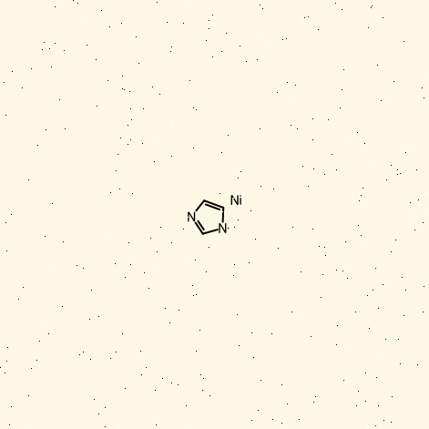 C1=CN=C[N]1.[Ni]